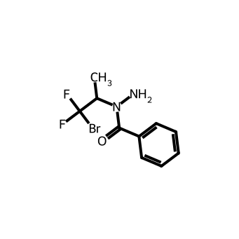 CC(N(N)C(=O)c1ccccc1)C(F)(F)Br